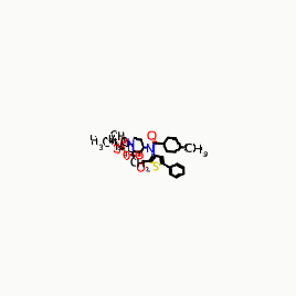 CC1CCC(C(=O)N(c2cc(-c3ccccc3)sc2C(=O)OC(C)(C)OC(=O)OC(C)C)C2CCN(C)CC2)CC1